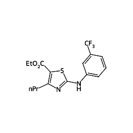 CCCc1nc(Nc2cccc(C(F)(F)F)c2)sc1C(=O)OCC